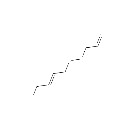 C=CCSSCC=CCC